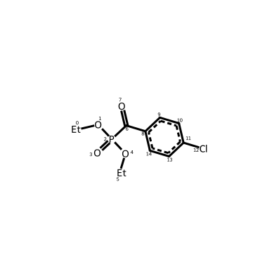 CCOP(=O)(OCC)C(=O)c1ccc(Cl)cc1